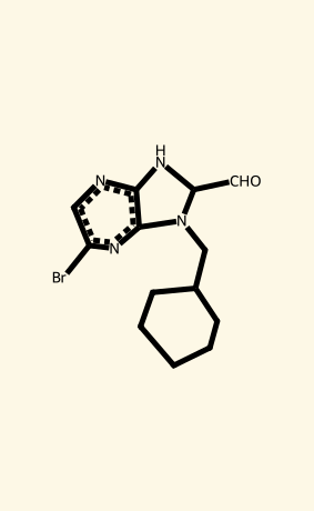 O=CC1Nc2ncc(Br)nc2N1CC1CCCCC1